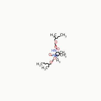 CCCCC(CC)COCCOC(=O)NC1CC(C)(C)CC(C)(C(NC=O)OCCOCC(CC)CCCC)C1